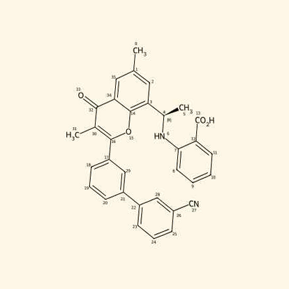 Cc1cc([C@@H](C)Nc2ccccc2C(=O)O)c2oc(-c3cccc(-c4cccc(C#N)c4)c3)c(C)c(=O)c2c1